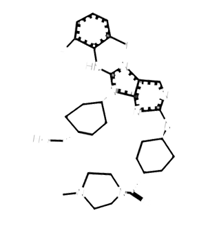 CN1CCN(C(=O)[C@H]2CC[C@H](Nc3ncc4nc(Nc5c(F)cccc5F)n([C@H]5CC[C@@H](CO)CC5)c4n3)CC2)CC1